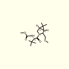 COCC1[C@@H]2[C@H](CN1C(=O)[C@@H](NC(=O)OC)C(C)(C)C)C2(C)C